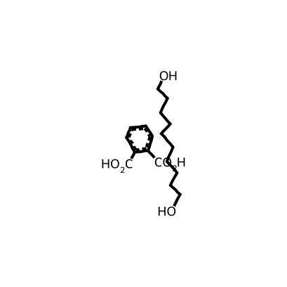 O=C(O)c1ccccc1C(=O)O.OCCCCCCCCCCO